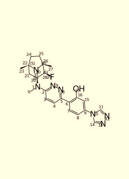 CN(c1ccc(-c2ccc(-n3cnnc3)cc2O)nn1)[C@H]1C[C@]2(C)CC[C@](C)([C@H]1F)N2C